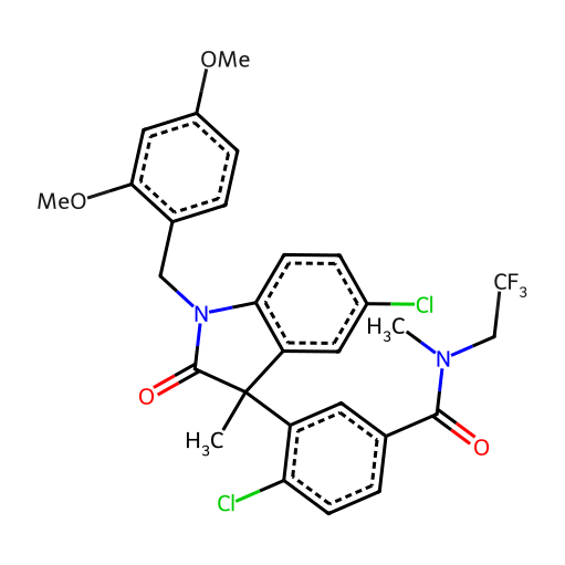 COc1ccc(CN2C(=O)C(C)(c3cc(C(=O)N(C)CC(F)(F)F)ccc3Cl)c3cc(Cl)ccc32)c(OC)c1